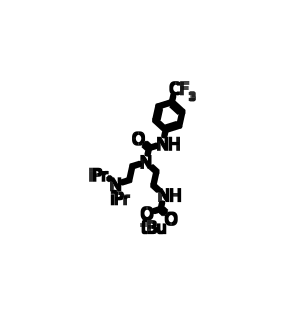 CC(C)N(CCN(CCNC(=O)OC(C)(C)C)C(=O)Nc1ccc(C(F)(F)F)cc1)C(C)C